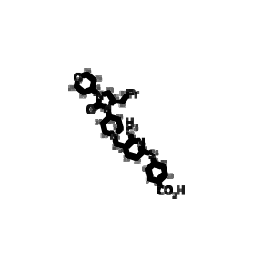 Cc1nc(Sc2ccc(C(=O)O)cc2)ccc1CN1CCC(N2C(=O)N(C3CCOCC3)C[C@H]2CC(C)C)CC1